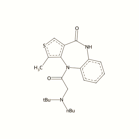 CCCCN(CC(=O)N1c2ccccc2NC(=O)c2csc(C)c21)C(C)(C)C